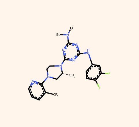 CCN(CC)c1nc(Nc2ccc(F)c(F)c2)nc(N2CCN(c3ncccc3C(F)(F)F)C[C@H]2C)n1